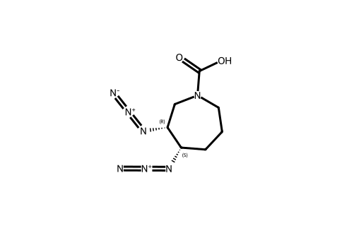 [N-]=[N+]=N[C@H]1CCCN(C(=O)O)C[C@H]1N=[N+]=[N-]